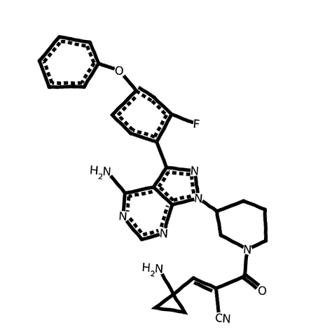 N#CC(=CC1(N)CC1)C(=O)N1CCCC(n2nc(-c3ccc(Oc4ccccc4)cc3F)c3c(N)ncnc32)C1